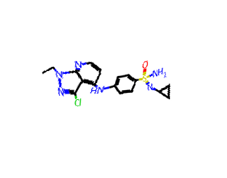 CCn1nc(Cl)c2c(Nc3ccc(S(N)(=O)=NC4CC4)cc3)ccnc21